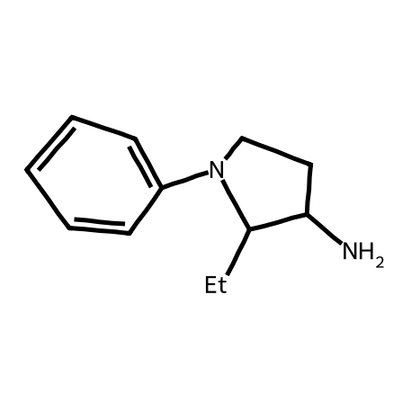 CCC1C(N)CCN1c1ccccc1